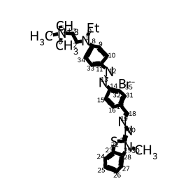 CCN(CC[N+](C)(C)C)c1ccc(/N=N/c2ccc(/C=N/N=c3\sc4ccccc4n3C)cc2)cc1.[Br-]